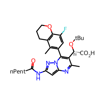 CCCCCC(=O)Nc1cc2nc(C)c([C@H](OC(C)(C)C)C(=O)O)c(-c3cc(F)c4c(c3C)CCCO4)n2n1